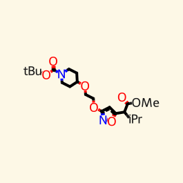 COC(=O)C(c1cc(OCCOC2CCN(C(=O)OC(C)(C)C)CC2)no1)C(C)C